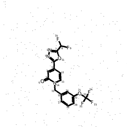 O=c1cc(-c2nnc(C(F)F)o2)ccn1Cc1cccc(OC(F)(F)F)c1